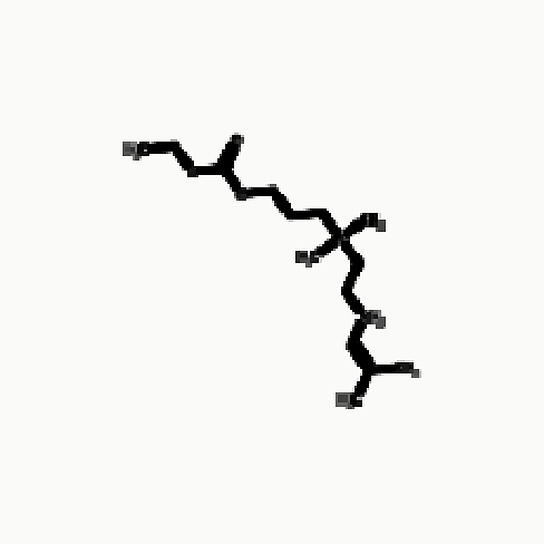 CCOC(=O)OCCC[Si](C)(C)CC[SiH2]C=C(C)C